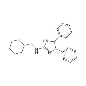 c1ccc(C2N=C(NCC3CCCCC3)NC2c2ccccc2)cc1